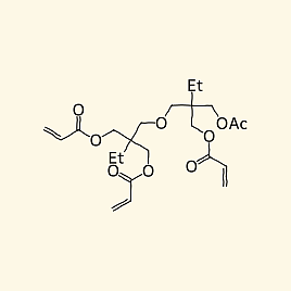 C=CC(=O)OCC(CC)(COCC(CC)(COC(=O)C=C)COC(=O)C=C)COC(C)=O